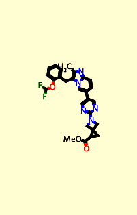 COC(=O)C1CC12CN(c1ncc(-c3ccc4nc(C)c(Cc5ccccc5OC(F)F)n4c3)cn1)C2